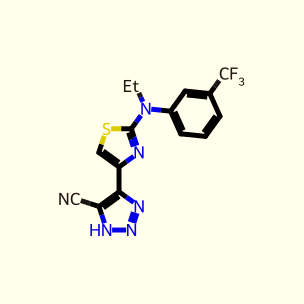 CCN(c1cccc(C(F)(F)F)c1)c1nc(-c2nn[nH]c2C#N)cs1